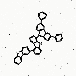 c1ccc(-c2ccc3c(c2)c2cc(-c4ccccc4)ccc2n3-c2cccc3c2oc2cccc(-c4ccc5oc6ccccc6c5c4)c23)cc1